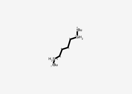 CC(C)(C)[SiH2]CCCC[SiH2]C(C)(C)C